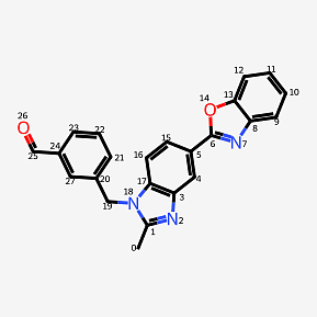 Cc1nc2cc(-c3nc4ccccc4o3)ccc2n1Cc1cccc(C=O)c1